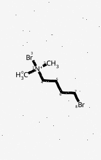 C[N+](C)(Br)CCCCBr